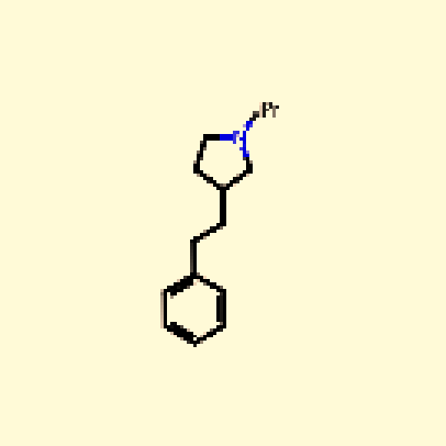 CC(C)N1CCC(CCc2ccccc2)C1